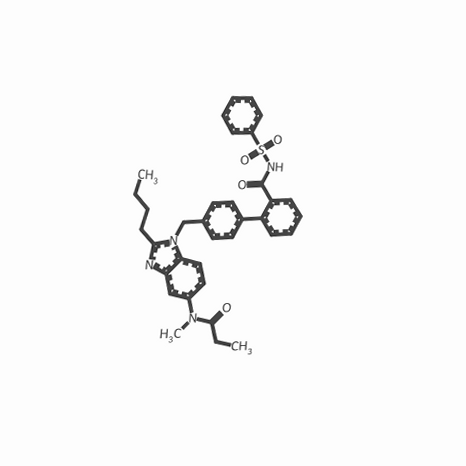 CCCCc1nc2cc(N(C)C(=O)CC)ccc2n1Cc1ccc(-c2ccccc2C(=O)NS(=O)(=O)c2ccccc2)cc1